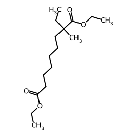 CCOC(=O)CCCCCCC(C)(CC)C(=O)OCC